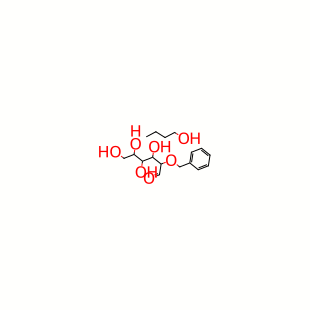 CCCCO.O=CC(OCc1ccccc1)C(O)C(O)C(O)CO